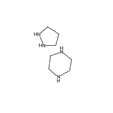 C1CNCCN1.C1CNNC1